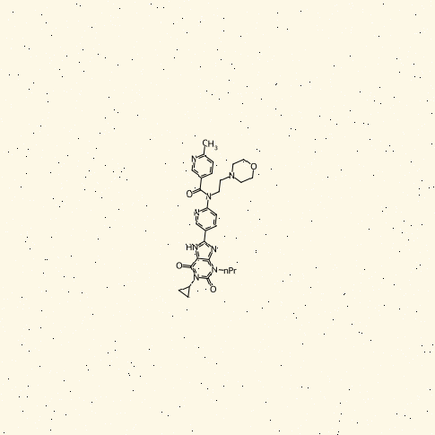 CCCn1c(=O)n(C2CC2)c(=O)c2[nH]c(-c3ccc(N(CCN4CCOCC4)C(=O)c4ccc(C)nc4)nc3)nc21